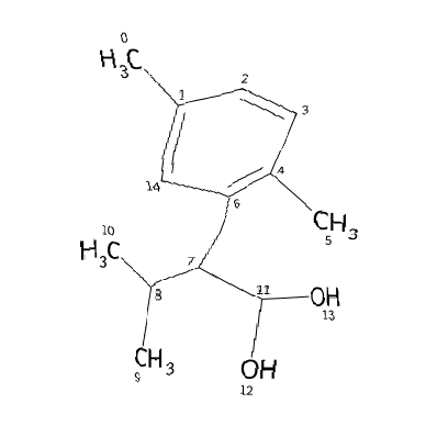 Cc1ccc(C)c(C(C(C)C)C(O)O)c1